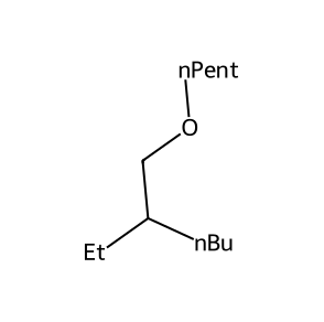 CCCCCOCC(CC)CCCC